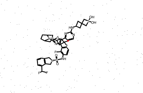 O=S(=O)(Nc1cccc(-c2nc(N3C4CCC3CN(C3CC(F)(F)C3)C4)sc2-c2ccnc(NC3CC4(C3)CS(O)(O)C4)n2)c1F)N1Cc2cccc(C(F)F)c2C1